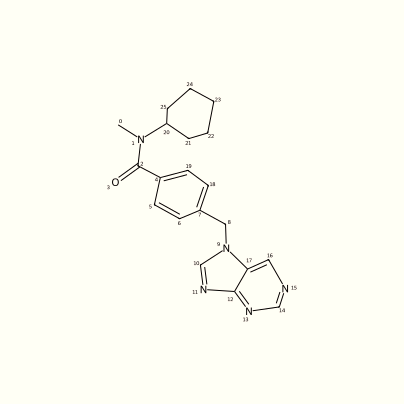 CN(C(=O)c1ccc(Cn2cnc3ncncc32)cc1)C1CCCCC1